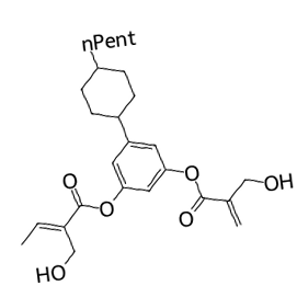 C=C(CO)C(=O)Oc1cc(OC(=O)/C(=C/C)CO)cc(C2CCC(CCCCC)CC2)c1